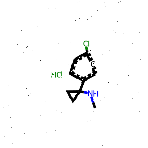 CNC1(c2ccc(Cl)cc2)CC1.Cl